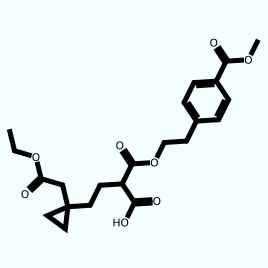 CCOC(=O)CC1(CCC(C(=O)O)C(=O)OCCc2ccc(C(=O)OC)cc2)CC1